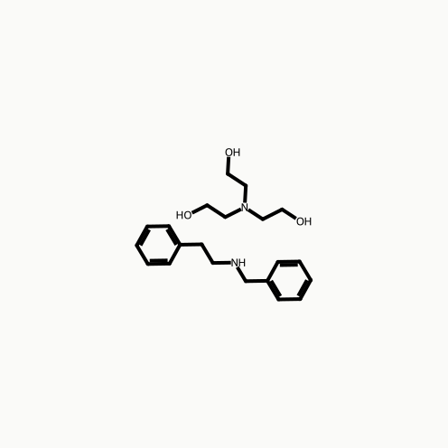 OCCN(CCO)CCO.c1ccc(CCNCc2ccccc2)cc1